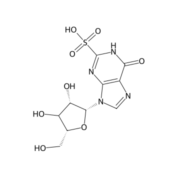 O=c1[nH]c(S(=O)(=O)O)nc2c1ncn2[C@@H]1O[C@H](CO)C(O)[C@@H]1O